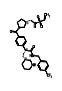 C=CS(=O)(=O)NC[C@H]1CCN(C(=O)c2ccc([C@@H](C[C@H]3CCCNC3)C(=O)NCc3ccc(C(F)(F)F)cc3)cc2)C1